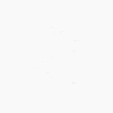 CCOC(=O)CCCCC(CCc1ccccc1OCCCCCBr)Cc1ccc(C(=O)OCC)cc1